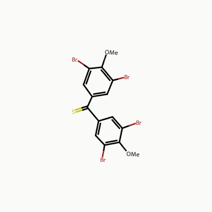 COc1c(Br)cc(C(=S)c2cc(Br)c(OC)c(Br)c2)cc1Br